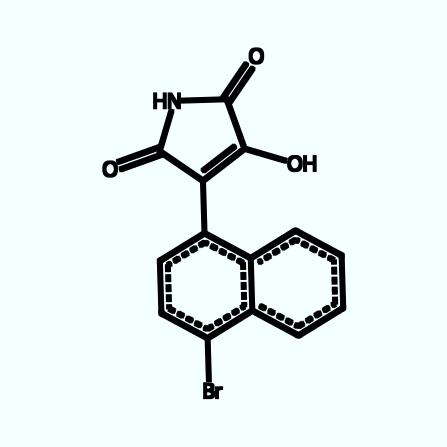 O=C1NC(=O)C(c2ccc(Br)c3ccccc23)=C1O